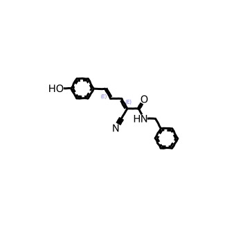 N#C/C(=C\C=C\c1ccc(O)cc1)C(=O)NCc1ccccc1